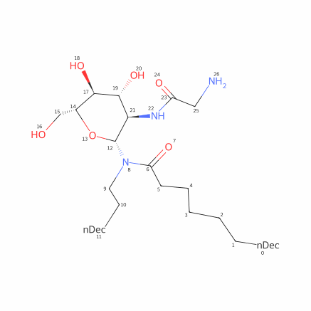 CCCCCCCCCCCCCCCC(=O)N(CCCCCCCCCCCC)[C@@H]1O[C@H](CO)[C@@H](O)[C@H](O)[C@H]1NC(=O)CN